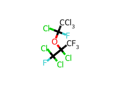 FC(F)(F)C(Cl)(OC(F)(Cl)C(Cl)(Cl)Cl)C(F)(Cl)Cl